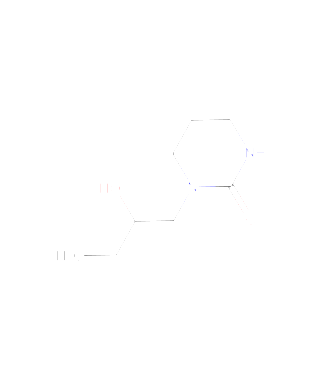 CCC(O)CN1CCCNC1=O